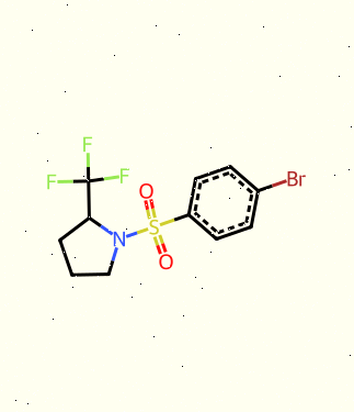 O=S(=O)(c1ccc(Br)cc1)N1CCCC1C(F)(F)F